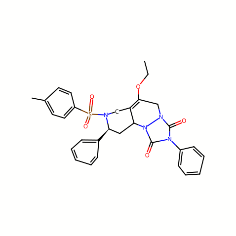 CCOC1=C2CN(S(=O)(=O)c3ccc(C)cc3)[C@H](c3ccccc3)CC2n2c(=O)n(-c3ccccc3)c(=O)n2C1